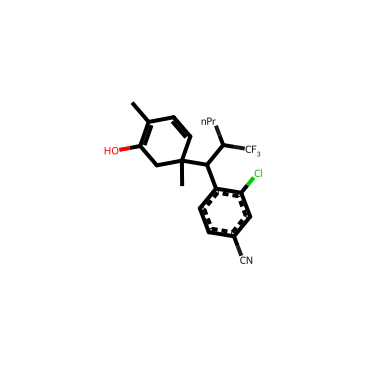 CCCC(C(c1ccc(C#N)cc1Cl)C1(C)C=CC(C)=C(O)C1)C(F)(F)F